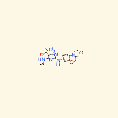 NC(=O)c1cnc(Nc2ccc3c(c2)OCC2COCCN32)nc1NC1CC1